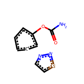 NC(=O)Oc1ccccc1.c1csnn1